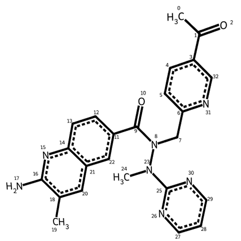 CC(=O)c1ccc(CN(C(=O)c2ccc3nc(N)c(C)cc3c2)N(C)c2ncccn2)nc1